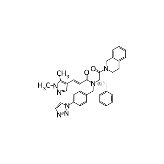 Cc1c(C=CC(=O)N(Cc2ccc(-n3ccnn3)cc2)[C@@H](Cc2ccccc2)C(=O)N2CCc3ccccc3C2)cnn1C